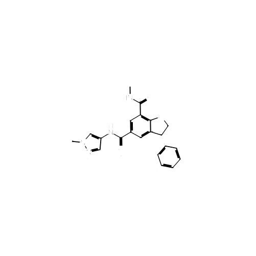 CNC(=O)c1cc(C(=O)Nc2cnn(C)c2)cc2c1OC[C@@H]2c1ccccc1